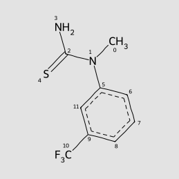 CN(C(N)=S)c1cccc(C(F)(F)F)c1